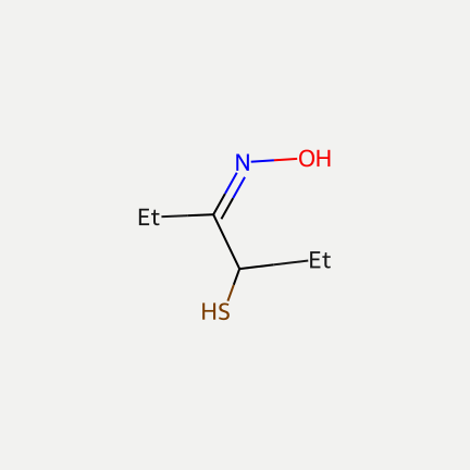 CCC(=NO)C(S)CC